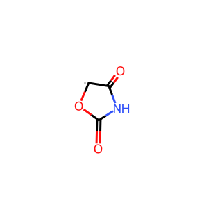 O=C1[CH]OC(=O)N1